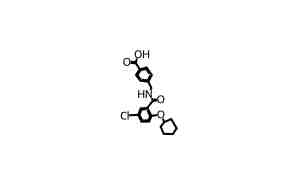 O=C(O)c1ccc(CNC(=O)c2cc(Cl)ccc2OC2CCCCC2)cc1